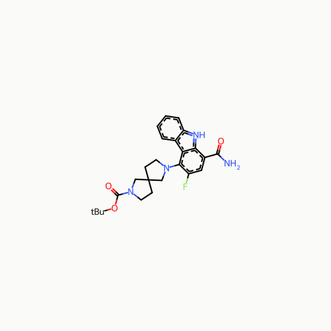 CC(C)(C)OC(=O)N1CCC2(CCN(c3c(F)cc(C(N)=O)c4[nH]c5ccccc5c34)C2)C1